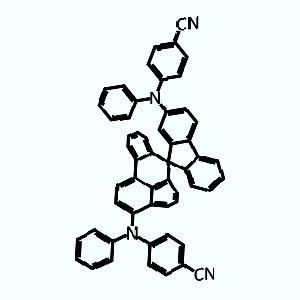 N#Cc1ccc(N(c2ccccc2)c2ccc3c(c2)C2(c4ccccc4-3)c3ccccc3-c3ccc(N(c4ccccc4)c4ccc(C#N)cc4)c4cccc2c34)cc1